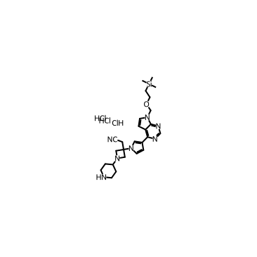 C[Si](C)(C)CCOCn1ccc2c(-c3ccn(C4(CC#N)CN(C5CCNCC5)C4)c3)ncnc21.Cl.Cl.Cl